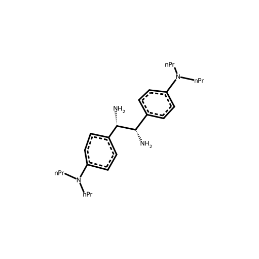 CCCN(CCC)c1ccc([C@H](N)[C@@H](N)c2ccc(N(CCC)CCC)cc2)cc1